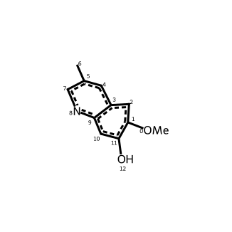 COc1cc2cc(C)cnc2cc1O